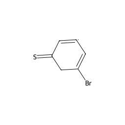 S=C1C=[C]C=C(Br)C1